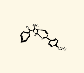 Cc1ccc(-c2ccc3c(N)c(C(=O)c4ccccc4)oc3n2)cc1